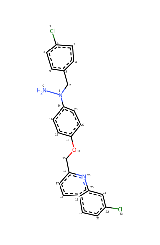 NN(Cc1ccc(Cl)cc1)c1ccc(OCc2ccc3ccc(Cl)cc3n2)cc1